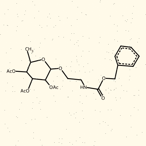 CC(=O)OC1C(C)OC(OCCNC(=O)OCc2ccccc2)C(OC(C)=O)C1OC(C)=O